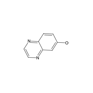 [O]c1ccc2nccnc2c1